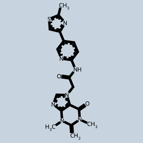 C=C1N(C)C(=O)c2c(ncn2CC(=O)Nc2ccc(-c3csc(C)n3)cn2)N1C